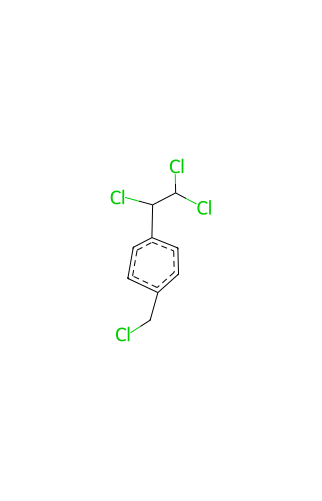 ClCc1ccc(C(Cl)C(Cl)Cl)cc1